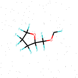 FCOC(F)(F)C1(F)OC(F)(F)C(F)(F)C1(F)F